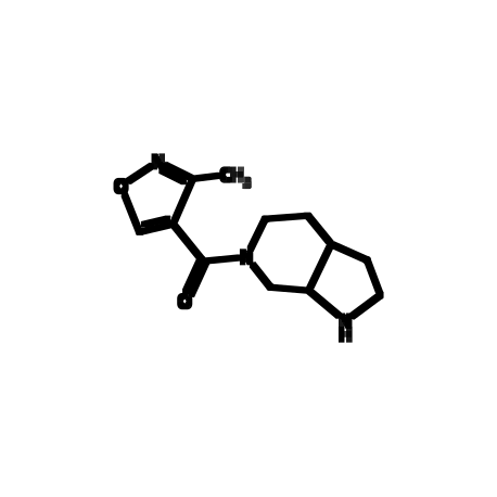 Cc1nocc1C(=O)N1CCC2CCNC2C1